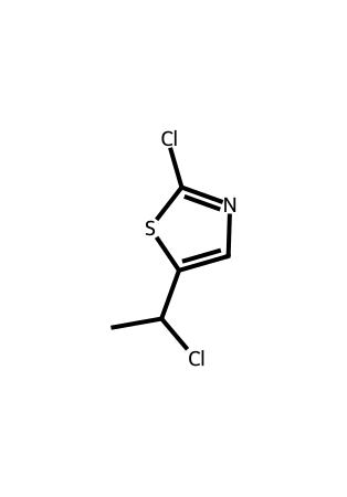 CC(Cl)c1cnc(Cl)s1